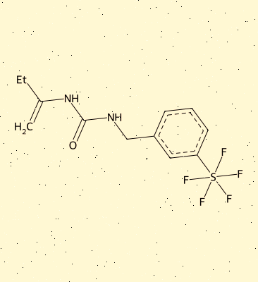 C=C(CC)NC(=O)NCc1cccc(S(F)(F)(F)(F)F)c1